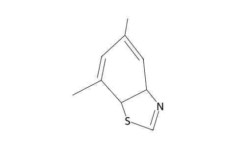 CC1=CC2N=CSC2C(C)=C1